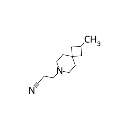 CC1CC2(CCN(CCC#N)CC2)C1